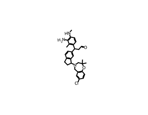 CNc1ccc(C(CC=O)c2ccc3c(c2)C(N2Cc4cc(Cl)ccc4OC(C)(C)C2)CC3)c(C)c1N